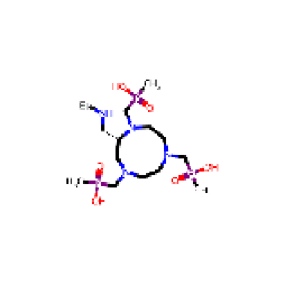 CCNC[C@H]1CN(CP(C)(=O)O)CCN(CP(C)(=O)O)CCN1CP(C)(=O)O